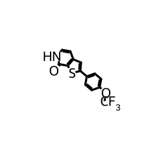 O=c1[nH]ccc2cc(-c3ccc(OC(F)(F)F)cc3)sc12